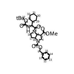 COC(=O)C1CN(C(=O)OCc2ccccc2)C2CCN(C(=O)C(NC(=O)OC(C)(C)C)C3CCCCC3)C12